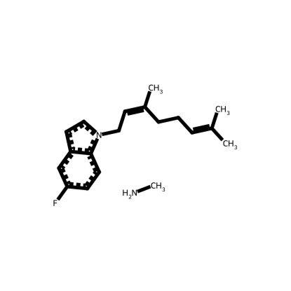 CC(C)=CCCC(C)=CCn1ccc2cc(F)ccc21.CN